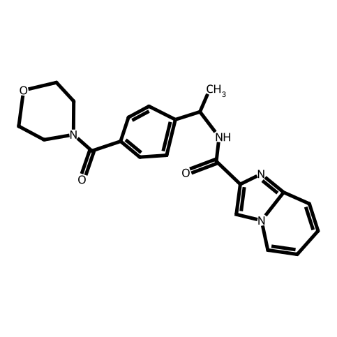 CC(NC(=O)c1cn2ccccc2n1)c1ccc(C(=O)N2CCOCC2)cc1